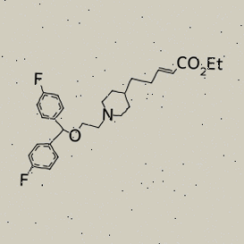 CCOC(=O)C=CCCC1CCN(CCOC(c2ccc(F)cc2)c2ccc(F)cc2)CC1